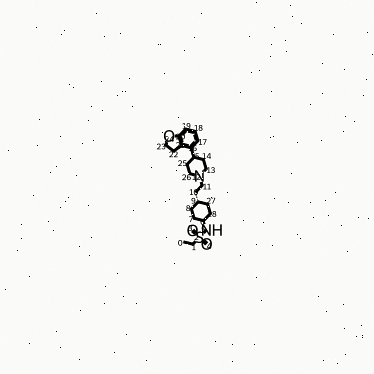 CCS(=O)(=O)N[C@H]1CC[C@H](CCN2CCC(c3cccc4c3CCO4)CC2)CC1